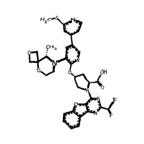 CSc1cc(-c2cnc(O[C@H]3C[C@@H](C(=O)O)N(c4nc(C(F)F)nc5c4oc4ccccc45)C3)c(N3CCOC4(COC4)[C@@H]3C)c2)ccn1